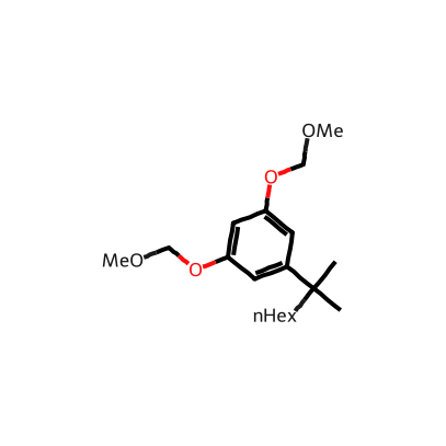 CCCCCCC(C)(C)c1cc(OCOC)cc(OCOC)c1